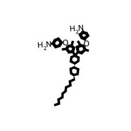 CCCCCCCCCC[C@H]1CC[C@H](C2CCC(c3cc(C)c(Oc4ccc(N)cc4)c(C)c3)(c3cc(C)c(Oc4ccc(N)cc4)c(C)c3)CC2)CC1